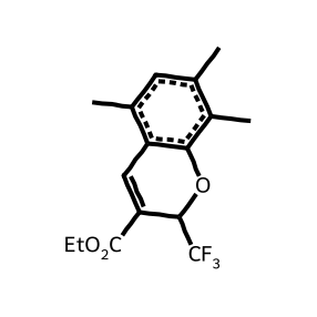 CCOC(=O)C1=Cc2c(C)cc(C)c(C)c2OC1C(F)(F)F